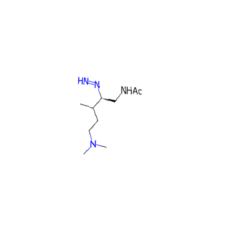 CC(=O)NC[C@H](N=N)C(C)CCN(C)C